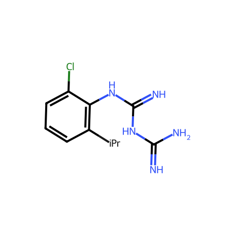 CC(C)c1cccc(Cl)c1NC(=N)NC(=N)N